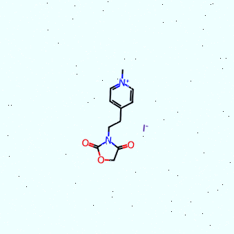 C[n+]1ccc(CCN2C(=O)COC2=O)cc1.[I-]